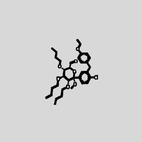 CCCCO[C@H]1[C@H](OCCCC)[C@@H](C=O)O[C@@](OC)(c2ccc(Cl)c(Cc3ccc(OCC)cc3)c2)[C@@H]1OCCCC